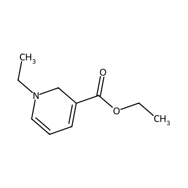 CCOC(=O)C1=CC=CN(CC)C1